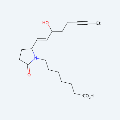 CCC#CCCC(O)C=CC1CCC(=O)N1CCCCCCC(=O)O